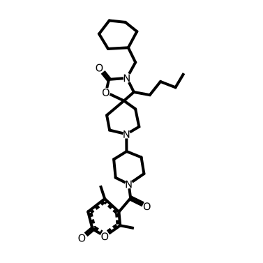 CCCCC1N(CC2CCCCC2)C(=O)OC12CCN(C1CCN(C(=O)c3c(C)cc(=O)oc3C)CC1)CC2